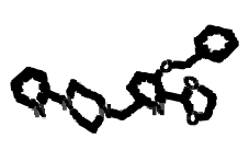 c1ccc(COc2ccc(CN3CCN(c4ccccn4)CC3)nc2C2OCCO2)cc1